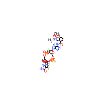 COC(=O)N(C)Cc1ccccc1C(=O)Nc1ncnc2c1ncn2[C@@H]1OC2CO[P@@](=O)(S)O[C@@H]3[C@H](O)[C@@H](CO[PH](=O)O[C@H]2[C@H]1F)O[C@H]3n1cc(F)c2c(=O)[nH]cnc21